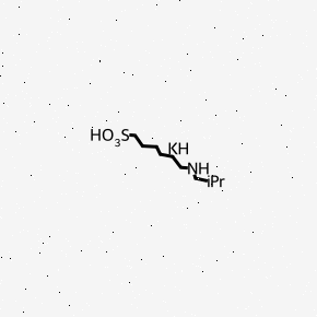 CC(C)CNCCCCCCS(=O)(=O)O.[KH]